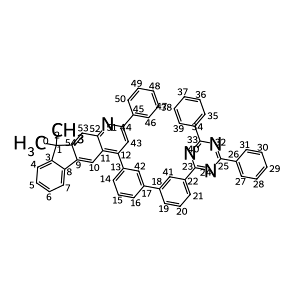 CC1(C)c2ccccc2-c2cc3c(-c4cccc(-c5cccc(-c6nc(-c7ccccc7)nc(-c7ccccc7)n6)c5)c4)cc(-c4ccccc4)nc3cc21